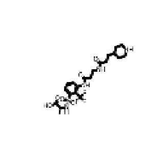 C[C@H](NS(=O)(=O)c1cccc(NC(=O)CCNC(=O)CCC2CCNCC2)c1C(F)(F)F)C(=O)O